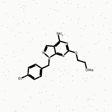 CCc1ccc(Cn2ncc3c(N)nc(OCCOC)nc32)cc1